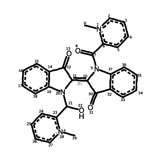 C[n+]1ccccc1C(=O)N1/C(=C2\C(=O)c3ccccc3N2C(O)c2cccc[n+]2C)C(=O)c2ccccc21